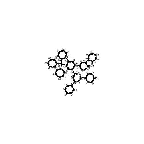 c1ccc(-c2cc(-c3ccccc3)nc(-c3cc4c(cc3-c3ccc5oc6ccccc6c5c3)-c3ccccc3C4(c3ccccc3)c3ccccc3)n2)cc1